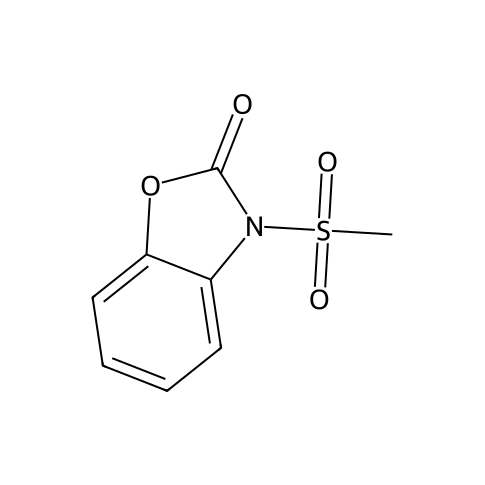 CS(=O)(=O)n1c(=O)oc2ccccc21